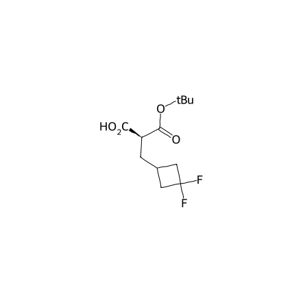 CC(C)(C)OC(=O)[C@@H](CC1CC(F)(F)C1)C(=O)O